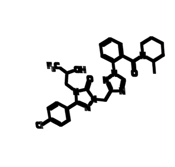 CC1CCCCN1C(=O)c1ccccc1-n1cnc(Cn2nc(-c3ccc(Cl)cc3)n(CC(O)C(F)(F)F)c2=O)n1